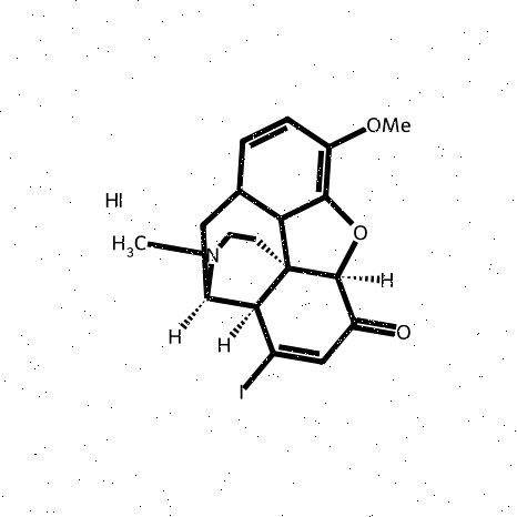 COC1=C2O[C@H]3C(=O)C=C(I)[C@H]4[C@H]5CC(C=C1)C2[C@@]34CCN5C.I